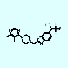 Cc1ncnc(N2CCN(Cc3nc4ccc([C@@H](O)C(F)(F)F)cc4o3)CC2)c1C